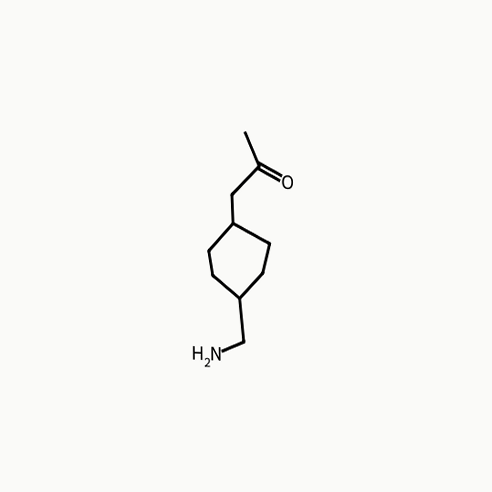 CC(=O)CC1CCC(CN)CC1